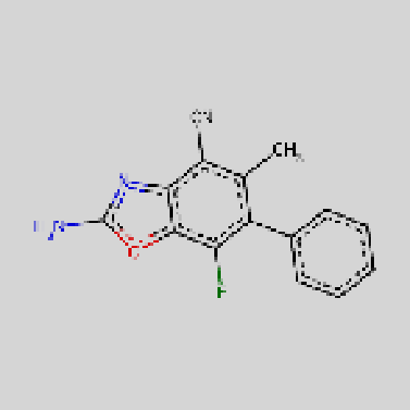 Cc1c(-c2ccccc2)c(F)c2oc(N)nc2c1C#N